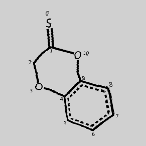 S=C1COc2ccccc2O1